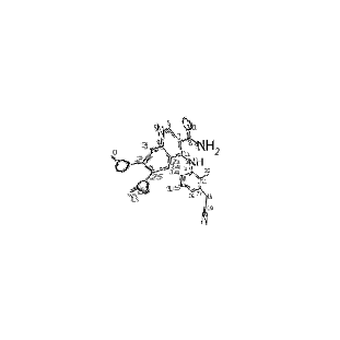 COc1cc2ncc(C(N)=O)c(Nc3cccc(CC#N)c3C)c2cc1OC